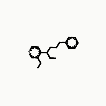 CCc1cnccc1C(CC)CCCc1ccccc1